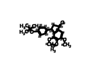 COc1cc2c(c(OC)c1OC)C(c1ccc(OC(C)(C)C)cc1)CC2=O